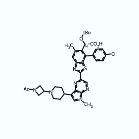 CC(=O)N1CC(N2CCC(c3cn(C)c4ncc(-c5nc6cc(C)c([C@H](OC(C)(C)C)C(=O)O)c(-c7ccc(Cl)cc7)c6s5)nc34)CC2)C1